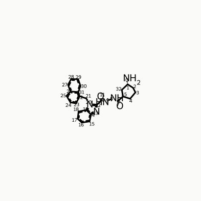 N[C@@H]1CCCC(C(=O)NNC(=O)c2nc3ccccc3n2Cc2cccc3ccccc23)C1